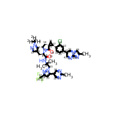 [2H]C([2H])([2H])n1cc(C[C@H](C(=O)NC(C)(C)Cn2nc(C(F)(F)F)cc2-c2cnc(C)nc2)N2CC[C@@]3(C[C@@H]3c3ccc(-c4cnc5nc(C)cn5c4)cc3Cl)C2=O)cn1